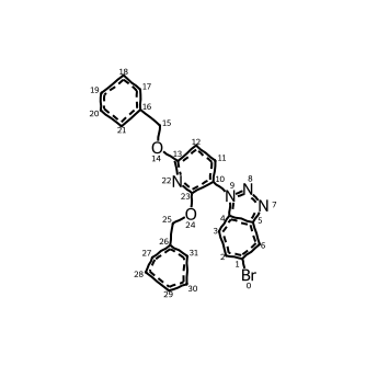 Brc1ccc2c(c1)nnn2-c1ccc(OCc2ccccc2)nc1OCc1ccccc1